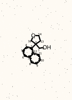 OCC1(c2cccc3ccccc23)CCOC1